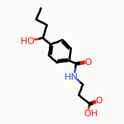 CCCC(O)c1ccc(C(=O)NCCC(=O)O)cc1